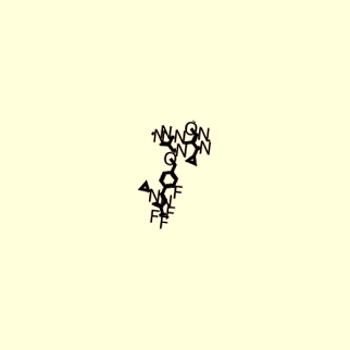 COc1ncnc(C2CC2)c1-c1nc(OCc2ccc(-c3nc(C(F)(F)F)cn3C3CC3)c(F)c2)c2cn(C)nc2n1